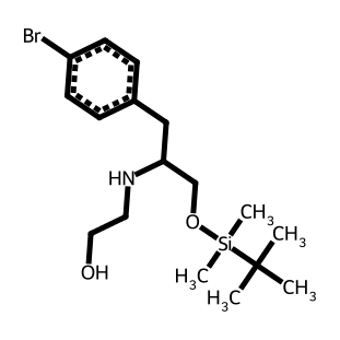 CC(C)(C)[Si](C)(C)OCC(Cc1ccc(Br)cc1)NCCO